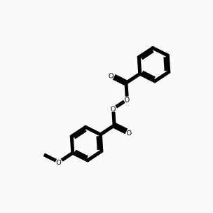 COc1ccc(C(=O)OOC(=O)c2ccccc2)cc1